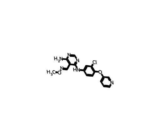 CON=Cc1c(N)ncnc1Nc1ccc(Oc2cccnc2)c(Cl)c1